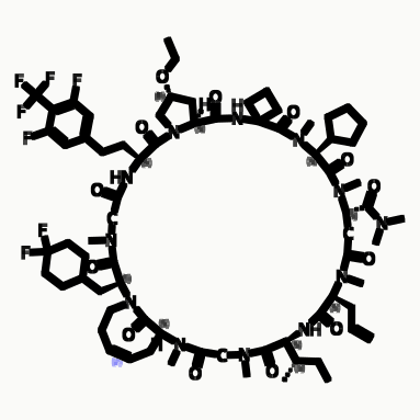 C=CC[C@H]1C(=O)N[C@@H]([C@@H](C)CC)C(=O)N(C)CC(=O)N(C)[C@H]2C/C=C\CCN(C2=O)[C@@H](CC2CCC(F)(F)CC2)C(=O)N(C)CC(=O)N[C@@H](CCc2cc(F)c(C(F)(F)F)c(F)c2)C(=O)N2C[C@H](OCC)C[C@H]2C(=O)NC2(CCC2)C(=O)N(C)[C@@H](C2CCCC2)C(=O)N(C)[C@H](C(=O)N(C)C)CC(=O)N1C